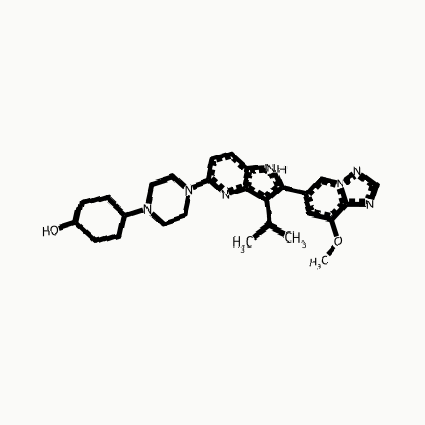 COc1cc(-c2[nH]c3ccc(N4CCN(C5CCC(O)CC5)CC4)nc3c2C(C)C)cn2ncnc12